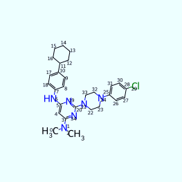 CN(C)c1cc(Nc2ccc(C3CCCCC3)cc2)nc(N2CCN(c3ccc(Cl)cc3)CC2)n1